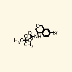 CC(C)(C)OC(=O)NC1COCc2cc(Br)ccc21